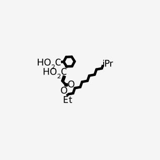 C=CC(=O)OC(CC)CCCCCCCCCC(C)C.O=C(O)C1CCCCC1C(=O)O